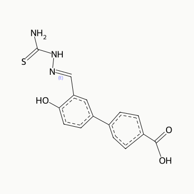 NC(=S)N/N=C/c1cc(-c2ccc(C(=O)O)cc2)ccc1O